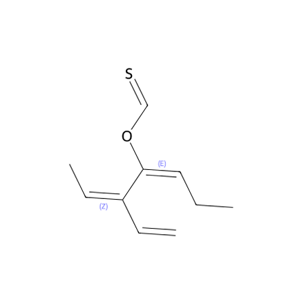 C=CC(=C/C)/C(=C\CC)OC=S